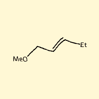 [CH2]OCC=CCC